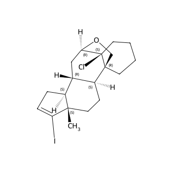 C[C@]12CC[C@H]3[C@@H](C[C@H]4OC[C@@]35CCCC[C@@]45Cl)[C@@H]1CC=C2I